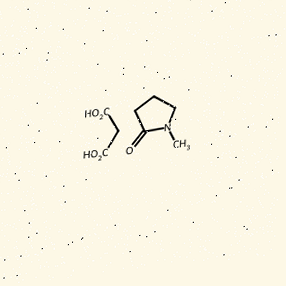 CN1CCCC1=O.O=C(O)CC(=O)O